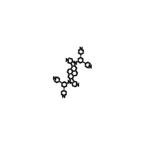 c1cc(-c2cc(-c3ccncc3)cc(-n3c4ccncc4c4c5ccc6cc7c(c8ccc(cc43)c5c68)c3cnccc3n7-c3cc(-c4ccncc4)cc(-c4ccncc4)c3)c2)ccn1